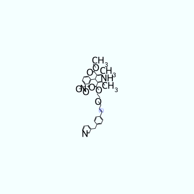 CCOC(=O)C1=C(C)NC(C)=C(C(=O)OCCOC/C=C/c2ccc(Cc3cccnc3)cc2)C1c1cccc([N+](=O)[O-])c1